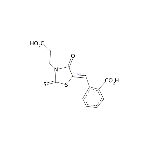 O=C(O)CCN1C(=O)/C(=C/c2ccccc2C(=O)O)SC1=S